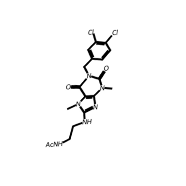 CC(=O)NCCNc1nc2c(c(=O)n(Cc3ccc(Cl)c(Cl)c3)c(=O)n2C)n1C